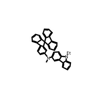 CCn1c2ccccc2c2cc(N(C)c3ccc4c(c3)C3(c5ccccc5-c5ccccc53)c3ccccc3-4)ccc21